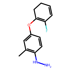 Cc1cc(OC2=C(F)C=CCC2)ccc1NN